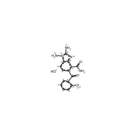 Cl.NC(=O)c1c(C(=O)c2ccccc2C(F)(F)F)ccc2c1nc(N)n2N